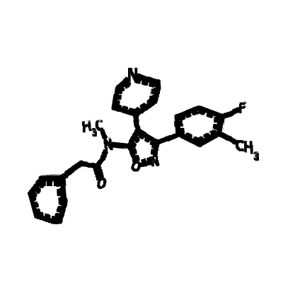 Cc1cc(-c2noc(N(C)C(=O)Cc3ccccc3)c2-c2ccncc2)ccc1F